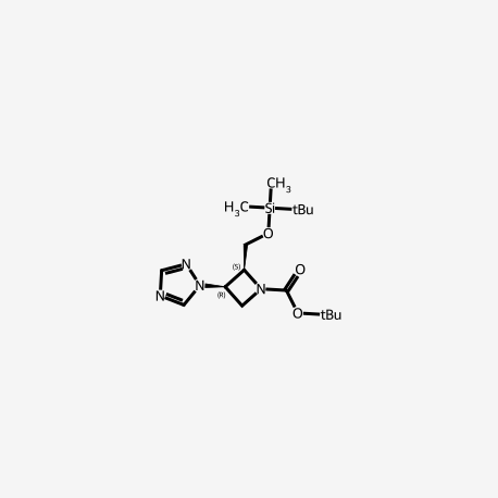 CC(C)(C)OC(=O)N1C[C@@H](n2cncn2)[C@H]1CO[Si](C)(C)C(C)(C)C